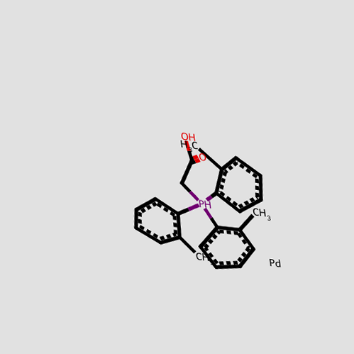 Cc1ccccc1[PH](CC(=O)O)(c1ccccc1C)c1ccccc1C.[Pd]